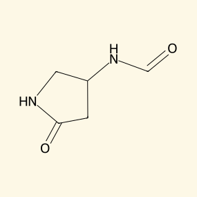 O=CNC1CNC(=O)C1